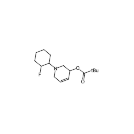 CC(C)(C)C(=O)OC1C=CCN(C2CCCCC2F)C1